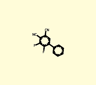 N#Cc1cc(-c2ccccc2)c(F)c(F)c1C#N